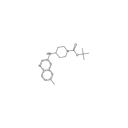 Cc1ccc2ncc(NC3CCN(C(=O)OC(C)(C)C)CC3)cc2c1